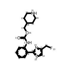 O=C(Nc1ccccc1-c1nc(CF)cs1)OCC1CCNCC1